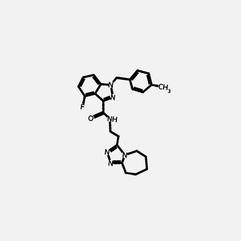 Cc1ccc(Cn2nc(C(=O)NCCc3nnc4n3CCCCC4)c3c(F)cccc32)cc1